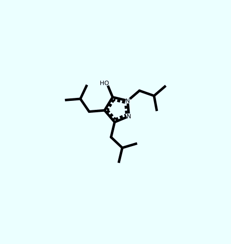 CC(C)Cc1nn(CC(C)C)c(O)c1CC(C)C